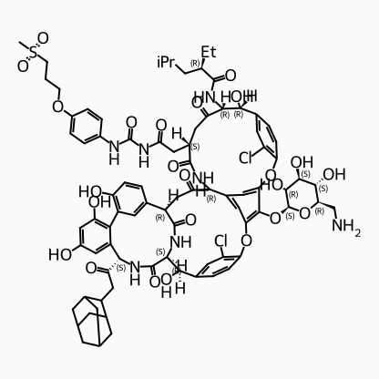 CC[C@H](CC(C)C)C(=O)N[C@H]1C(=O)C[C@@H](CC(=O)NC(=O)Nc2ccc(OCCCS(C)(=O)=O)cc2)C(=O)N[C@H]2C(=O)C[C@H]3C(=O)N[C@H](C(=O)N[C@H](C(=O)CC4C5CC6CC(C5)CC4C6)c4cc(O)cc(O)c4-c4cc3ccc4O)[C@H](O)c3ccc(c(Cl)c3)Oc3cc2cc(c3O[C@@H]2O[C@H](CN)[C@@H](O)[C@H](O)[C@H]2O)Oc2ccc(cc2Cl)[C@H]1O